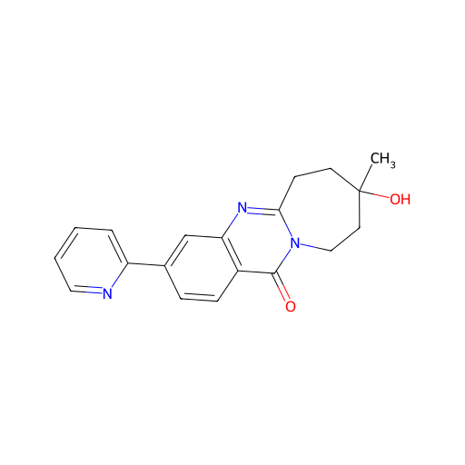 CC1(O)CCc2nc3cc(-c4ccccn4)ccc3c(=O)n2CC1